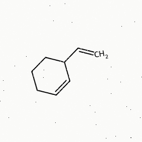 C=CC1C=CCCC1